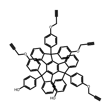 C#CCOc1ccc(C2(c3ccc(O)cc3)c3ccccc3-c3c2c2c(c4c3C(c3ccc(O)cc3)(c3ccc(OCC#C)cc3)c3ccccc3-4)C(c3ccc(OCC#C)cc3)(c3ccc(OCC#C)cc3)c3ccccc3-2)cc1